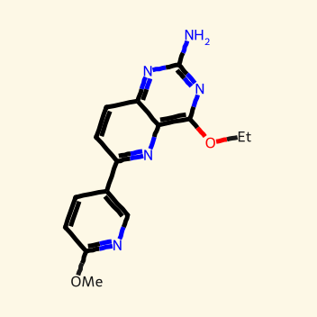 CCOc1nc(N)nc2ccc(-c3ccc(OC)nc3)nc12